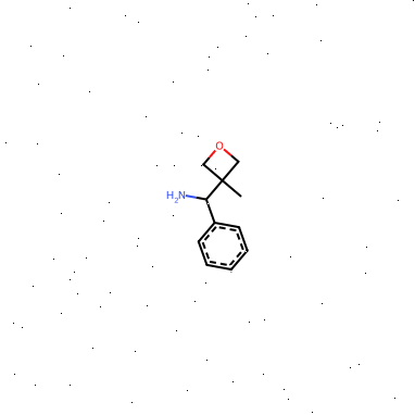 CC1(C(N)c2cc[c]cc2)COC1